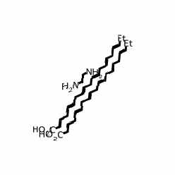 CCC=CCC=CCC=CCC=CCC=CCCCC(=O)O.CCC=CCC=CCC=CCC=CCC=CCCCC(=O)O.NCCN